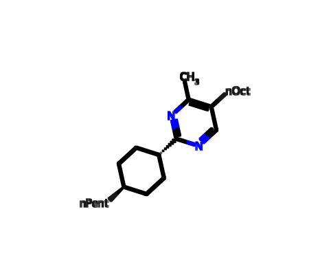 CCCCCCCCc1cnc([C@H]2CC[C@H](CCCCC)CC2)nc1C